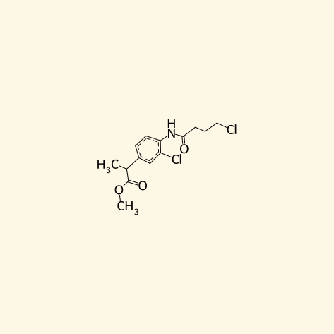 COC(=O)C(C)c1ccc(NC(=O)CCCCl)c(Cl)c1